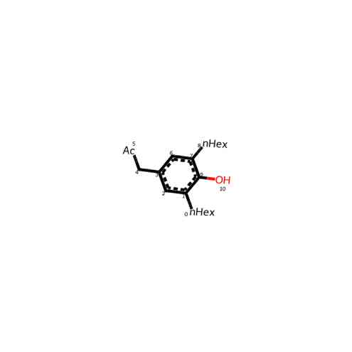 CCCCCCc1cc(CC(C)=O)cc(CCCCCC)c1O